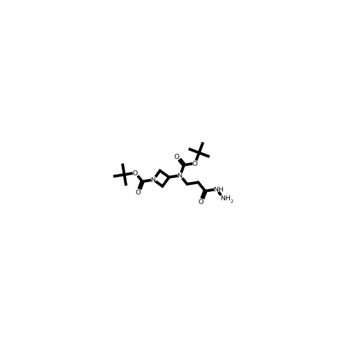 CC(C)(C)OC(=O)N1CC(N(CCC(=O)NN)C(=O)OC(C)(C)C)C1